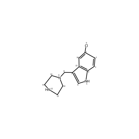 Clc1ccc2[nH]cc(CN3CCNCC3)c2c1